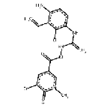 C=Cc1c(N)ccc(NC(=C)NNC(=O)c2cc(Br)c(=O)n(C)c2)c1Cl